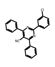 N#Cc1c(-c2ccccc2)nc(-c2cccc(Cl)c2)nc1-c1ccccc1